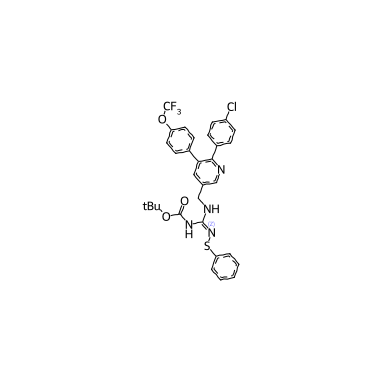 CC(C)(C)OC(=O)N/C(=N\Sc1ccccc1)NCc1cnc(-c2ccc(Cl)cc2)c(-c2ccc(OC(F)(F)F)cc2)c1